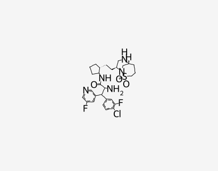 NC(C(=O)N[C@H]1CCC[C@@H]1CC[C@H]1CN[C@@H]2CCCS(=O)(=O)N1C2)C(c1cncc(F)c1)c1ccc(Cl)c(F)c1